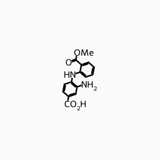 COC(=O)c1ccccc1Nc1ccc(C(=O)O)cc1N